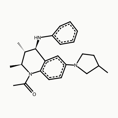 CC(=O)N1c2ccc(N3CCC(C)C3)cc2[C@H](Nc2ccccc2)[C@@H](C)[C@@H]1C